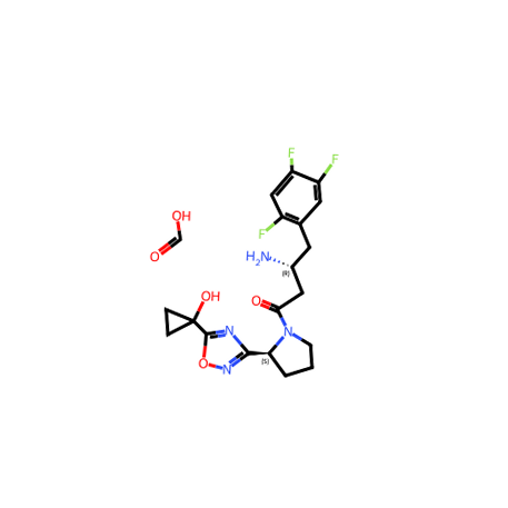 N[C@@H](CC(=O)N1CCC[C@H]1c1noc(C2(O)CC2)n1)Cc1cc(F)c(F)cc1F.O=CO